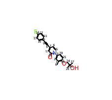 Cc1cc(-n2ccc(C#Cc3ccc(F)cc3)cc2=O)ccc1OCC(C)(C)O